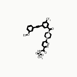 CCOc1cccc(C#Cc2cc(C(=O)N3CCN(c4ccc(C(=O)NS(C)(=O)=O)nn4)CC3)cc(C(F)(F)F)c2)c1